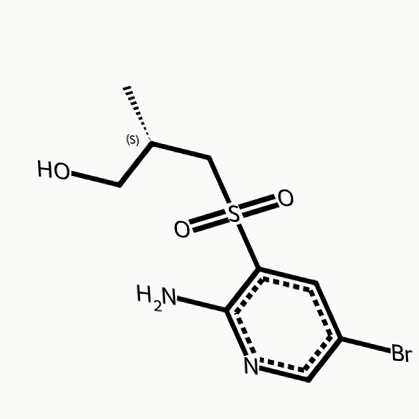 C[C@@H](CO)CS(=O)(=O)c1cc(Br)cnc1N